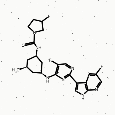 C[C@H]1C[C@@H](NC(=O)N2CCC(F)C2)C[C@@H](Nc2nc(-c3c[nH]c4ncc(F)cc34)ncc2F)C1